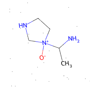 CC(N)[N+]1([O-])CCNC1